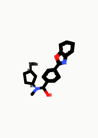 CC(=O)N[C@@H]1CC[C@@H](N(C)C(O)c2ccc(-c3nc4ccccc4o3)cc2)C1